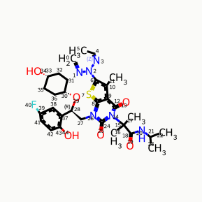 C=NN(/N=C\C)c1sc2c(c1C)c(=O)n(C(C)(C)C(=O)NC(C)C)c(=O)n2C[C@H](O[C@H]1CC[C@@H](O)CC1)c1cc(F)ccc1O